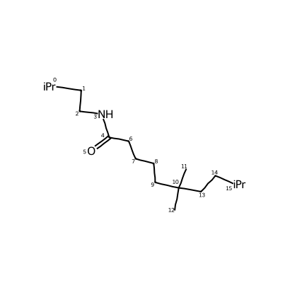 CC(C)CCNC(=O)CCCCC(C)(C)CCC(C)C